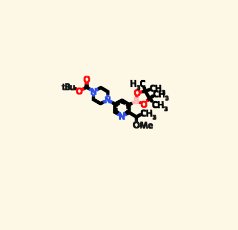 COC(C)c1ncc(N2CCN(C(=O)OC(C)(C)C)CC2)cc1B1OC(C)(C)C(C)(C)O1